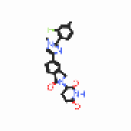 Cc1ccc(-c2nc(-c3ccc4c(c3)CN(C3CCC(=O)NC3=O)C4=O)cn2C)c(F)c1